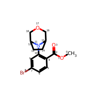 COC(=O)c1ccc(Br)cc1N1C2CCC1COC2